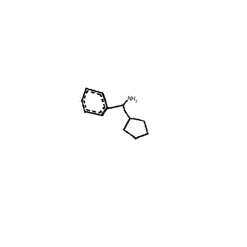 NC(c1cc[c]cc1)C1CCCC1